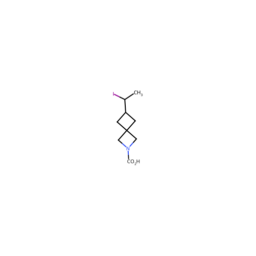 CC(I)C1CC2(C1)CN(C(=O)O)C2